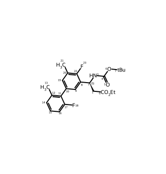 CCOC(=O)C[C@H](NC(=O)OC(C)(C)C)c1cc(-c2c(C)cccc2F)cc(C)c1F